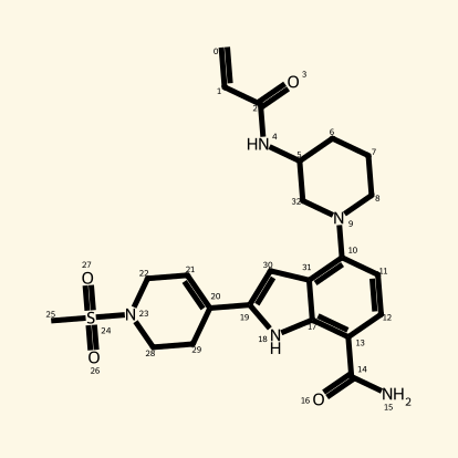 C=CC(=O)NC1CCCN(c2ccc(C(N)=O)c3[nH]c(C4=CCN(S(C)(=O)=O)CC4)cc23)C1